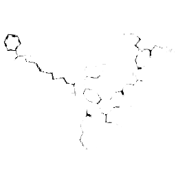 CCCCCCCCCCCCCC(=O)O[C@@H]1[C@H](NC(=O)CCCCCCCNC(=O)c2ccccc2)[C@@H](OC(CC(=O)O)CC(=O)O)O[C@H](COC(=O)CCC(NC(=O)CN(CCCCCCCCCCCC)C(=O)CCCCCCCCCCC)C(=O)O)[C@H]1OC(CC(=O)O)CC(=O)O